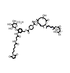 CC[C@H](O)[C@@H](C)[C@H]1O[C@@H]1CC(C)(O)/C=C/C=C(\C)[C@H]1OC(=O)C[C@H](O)CC[C@@](C)(OC(C)=O)[C@@H](OC(=O)N2CCN(C(=O)OCc3ccc(O[C@@H]4O[C@H](C(=O)O)[C@@H](O)[C@H](O)[C@H]4O)c(NC(=O)CCNC(=O)CCCCCN4C(=O)C=CC4=O)c3)CC2)/C=C/[C@@H]1C